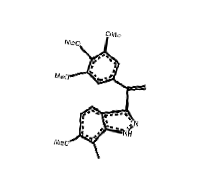 C=C(c1cc(OC)c(OC)c(OC)c1)c1n[nH]c2c(C)c(OC)ccc12